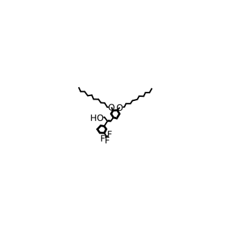 CCCCCCCCCCOc1ccc(/C=C(\CO)c2cccc(C(F)(F)F)c2)cc1OCCCCCCCCCC